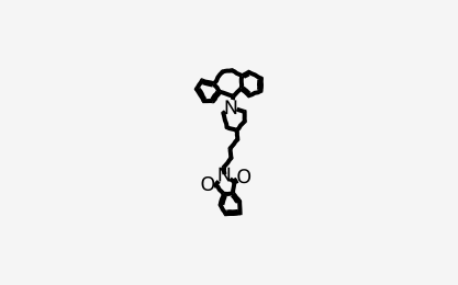 O=C1c2ccccc2C(=O)N1CCCCC1CCN(C2c3ccccc3CCc3ccccc32)CC1